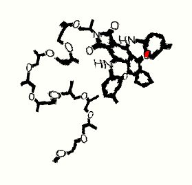 COCCOCC(C)OCC(C)OCC(C)OCC(C)OCC(C)OCC(C)OCC(C)OCC(C)OCC(C)n1c(=O)c2c(Nc3ccc(C)cc3)c3c(=O)c4ccccc4c(=O)c3c(Nc3ccc(C)cc3)c2c1=O